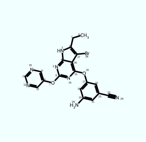 CCc1[nH]c2nc(Oc3cncnc3)nc(Oc3cc(N)cc(C#N)c3)c2c1Br